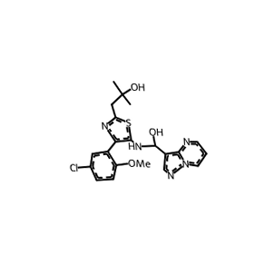 COc1ccc(Cl)cc1-c1nc(CC(C)(C)O)sc1NC(O)c1cnn2cccnc12